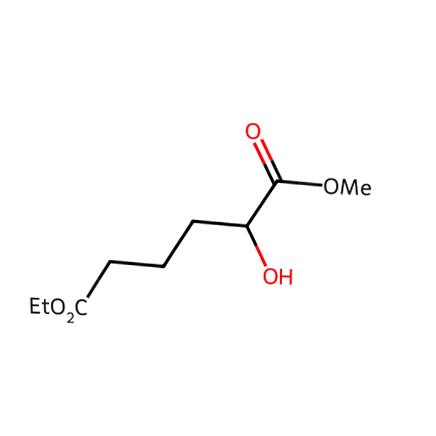 CCOC(=O)CCCC(O)C(=O)OC